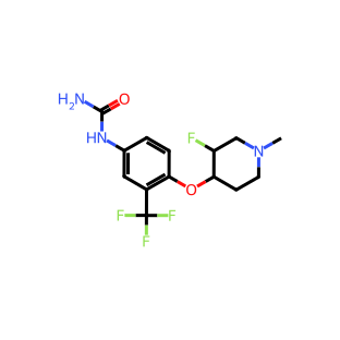 CN1CCC(Oc2ccc(NC(N)=O)cc2C(F)(F)F)C(F)C1